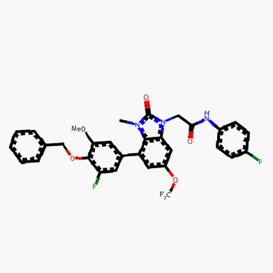 COc1cc(-c2cc(OC(F)(F)F)cc3c2n(C)c(=O)n3CC(=O)Nc2ccc(F)cc2)cc(F)c1OCc1ccccc1